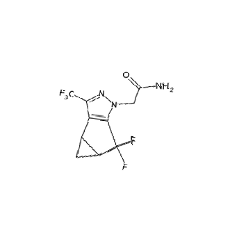 NC(=O)Cn1nc(C(F)(F)F)c2c1C(F)(F)C1CC21